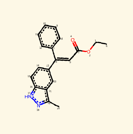 CCOC(=O)C=C(c1ccccc1)c1ccc2[nH]nc(C)c2c1